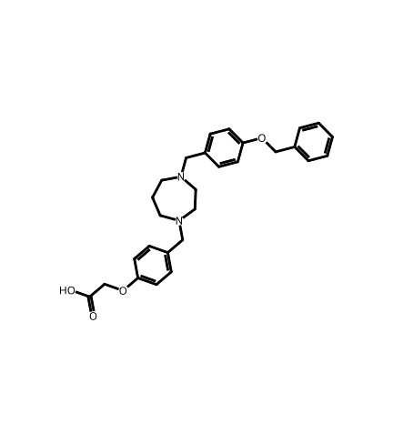 O=C(O)COc1ccc(CN2CCCN(Cc3ccc(OCc4ccccc4)cc3)CC2)cc1